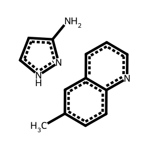 Cc1ccc2ncccc2c1.Nc1cc[nH]n1